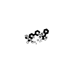 Cc1onc(-c2ccccc2)c1S(=O)(=O)N1CCCC(c2ccc3c(n2)n(C)c(=O)n3CC(C)(C)C)C1